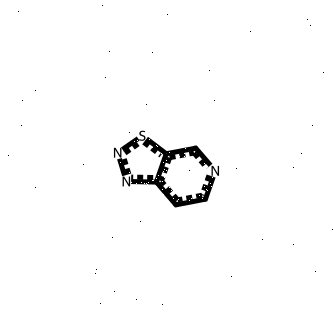 c1cc2nnsc2cn1